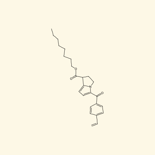 C=Cc1ccc(C(=O)c2ccc3n2CCC3C(=O)OCCCCCCCC)cc1